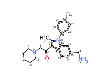 Cc1c(C(=O)CN2CCCCC2)c2ccc(CN)cc2n1-c1ccc(Cl)cc1